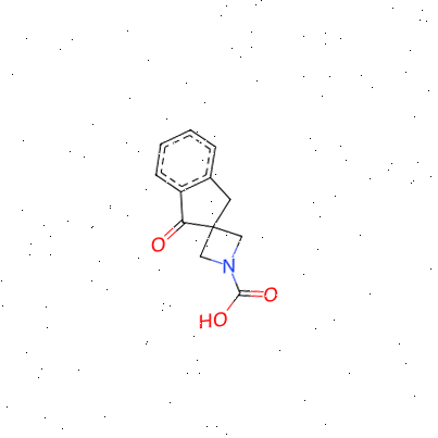 O=C(O)N1CC2(Cc3ccccc3C2=O)C1